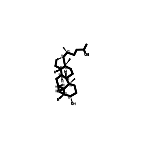 CC(O)CC[C@@H](C)[C@H]1CC[C@H]2[C@@H]3C[C@H]4[SH]5[C@H]6[C@@H](O)CC[C@](C)([C@H]3CC[C@]12C)C645